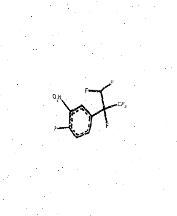 O=[N+]([O-])c1cc(C(F)(C(F)F)C(F)(F)F)ccc1F